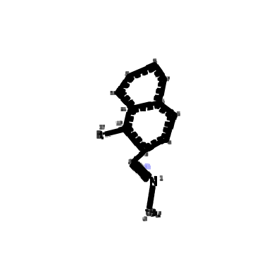 CC(C)(C)/N=C/c1ccc2ccccc2c1Br